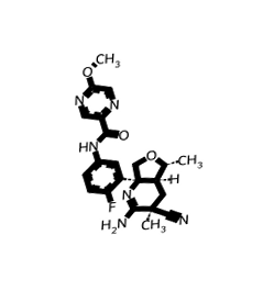 COc1cnc(C(=O)Nc2ccc(F)c([C@]34CO[C@H](C)[C@H]3C[C@@](C)(C#N)C(N)=N4)c2)cn1